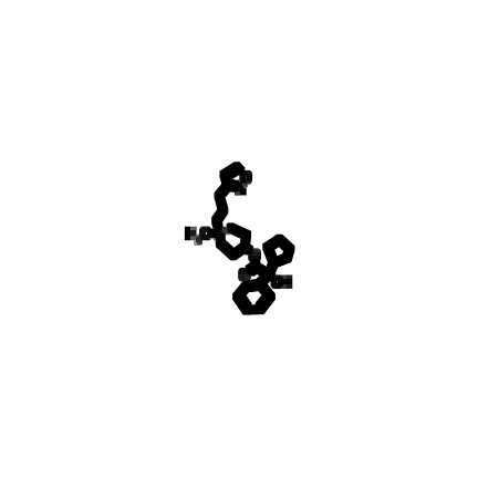 C[N+]1(CCCc2ccon2)CCC(OC(=O)C(O)(c2ccccc2)C2CCCC2)CC1